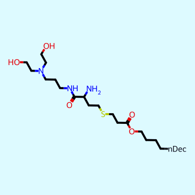 CCCCCCCCCCCCCCOC(=O)CCSCCC(N)C(=O)NCCCN(CCO)CCO